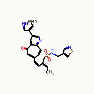 C/C=C(\C=C/c1ccc2ncc(/C(C=N)=C/NC)cc2c(=O)c1)CS(=O)(=O)NCc1cnsc1